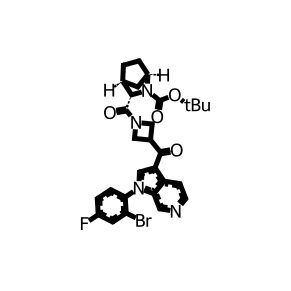 CC(C)(C)OC(=O)N1[C@@H]2CC[C@@H](C2)[C@H]1C(=O)N1CC(C(=O)c2cn(-c3ccc(F)cc3Br)c3cnccc23)C1